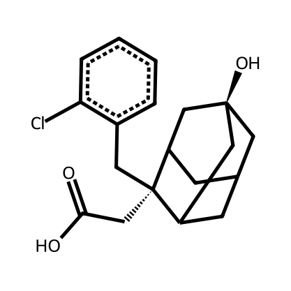 O=C(O)C[C@]1(Cc2ccccc2Cl)C2CC3CC1C[C@@](O)(C3)C2